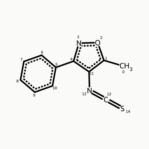 Cc1onc(-c2ccccc2)c1N=C=S